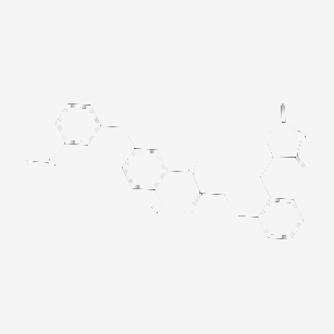 CC(C)Nc1cccc(Oc2ccc([N+](=O)[O-])c(N(C)C(=O)COc3ccccc3CC3SC(=O)NC3=O)c2)c1